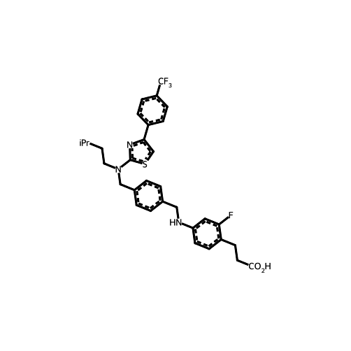 CC(C)CCN(Cc1ccc(CNc2ccc(CCC(=O)O)c(F)c2)cc1)c1nc(-c2ccc(C(F)(F)F)cc2)cs1